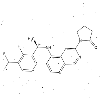 C[C@@H](Nc1ccnc2cnc(N3CCCC3=O)cc12)c1cccc(C(F)F)c1F